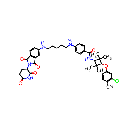 CC1(C)C(NC(=O)c2ccc(NCCCCCNc3ccc4c(c3)C(=O)N(C3CCC(=O)NC3=O)C4=O)cc2)C(C)(C)C1Oc1ccc(C#N)c(Cl)c1